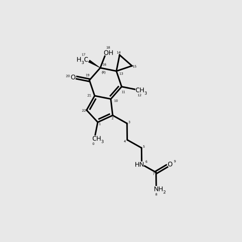 CC1=C(CCCNC(N)=O)C2=C(C)C3(CC3)[C@@](C)(O)C(=O)C2=C1